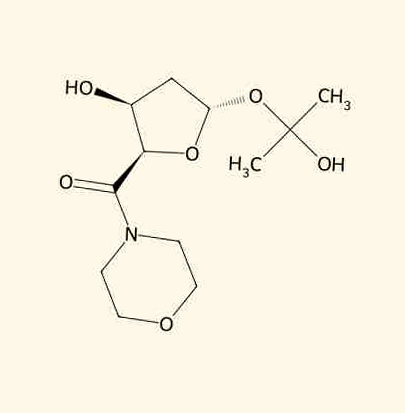 CC(C)(O)O[C@H]1C[C@H](O)[C@H](C(=O)N2CCOCC2)O1